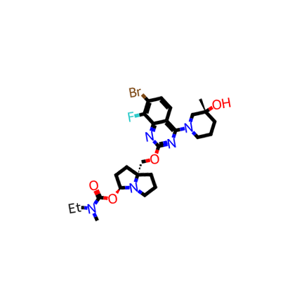 CCN(C)C(=O)O[C@H]1CC[C@@]2(COc3nc(N4CCC[C@@](C)(O)C4)c4ccc(Br)c(F)c4n3)CCCN12